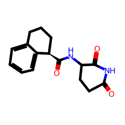 O=C1CCC(NC(=O)[C@@H]2CCCc3ccccc32)C(=O)N1